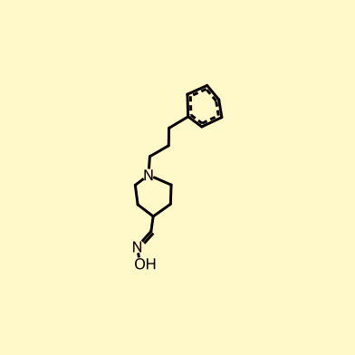 ON=CC1CCN(CCCc2ccccc2)CC1